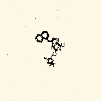 CN1CC(F)(F)C[C@H]1COc1nc(Cl)c2ncc(Cc3cccc4ccccc34)n2n1